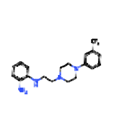 Nc1ccccc1NCCN1CCN(c2cccc(C(F)(F)F)c2)CC1